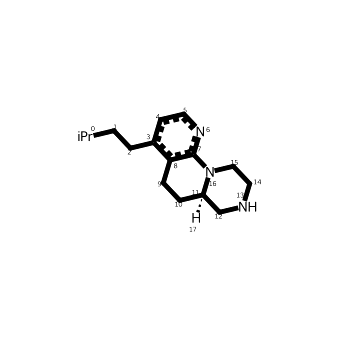 CC(C)CCc1ccnc2c1CC[C@@H]1CNCCN21